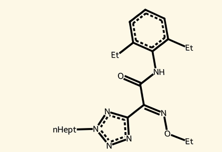 CCCCCCCn1nnc(C(=NOCC)C(=O)Nc2c(CC)cccc2CC)n1